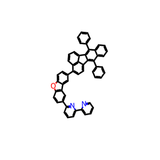 c1ccc(-c2c3c(c(-c4ccccc4)c4ccccc24)-c2ccc(-c4ccc5oc6ccc(-c7cccc(-c8ccccn8)n7)cc6c5c4)c4cccc-3c24)cc1